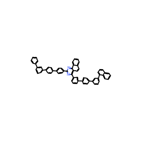 c1ccc(-c2cccc(-c3ccc(-c4ccc(-c5nc(-c6cccc(-c7ccc(-c8cccc(-c9cccc%10ccccc9%10)c8)cc7)c6)c6ccc7ccccc7c6n5)cc4)cc3)c2)cc1